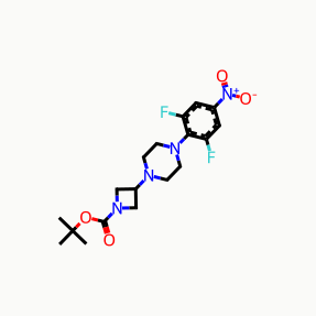 CC(C)(C)OC(=O)N1CC(N2CCN(c3c(F)cc([N+](=O)[O-])cc3F)CC2)C1